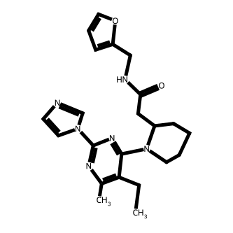 CCc1c(C)nc(-n2ccnc2)nc1N1CCCCC1CC(=O)NCc1ccco1